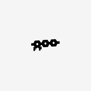 CC1CCC(C2CCC(C3CCC(C)C(F)C3F)CC2)CC1